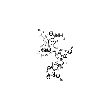 CC/C=C\C(C)[C@H](OC(N)=O)[C@@H](C)[C@H](O[Si](C)(C)C(C)(C)C)[C@@H](C)C/C(C)=C\[C@H](C)[C@@H](OCOC)C(C)/C=C\c1ccc2c(c1)N(COC)C(=O)CO2